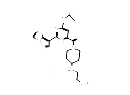 COCCN(C(=O)O)C1CCN(C(=O)c2cc(N[C@@H](C)C(C)(C)C)nc(-c3cnn4ccsc34)n2)CC1